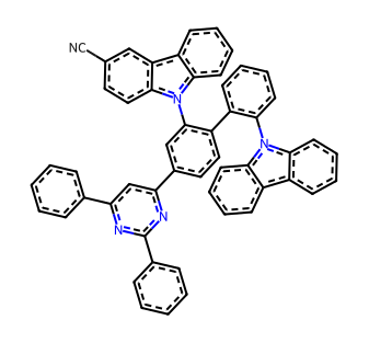 N#Cc1ccc2c(c1)c1ccccc1n2-c1cc(-c2cc(-c3ccccc3)nc(-c3ccccc3)n2)ccc1-c1ccccc1-n1c2ccccc2c2ccccc21